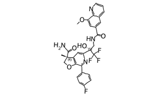 COc1cc(C(=O)NC[C@](O)(c2cc3c(c(-c4ccc(F)cc4)n2)OC[C@]3(C)C(N)=O)C(F)(F)F)cc2cccnc12